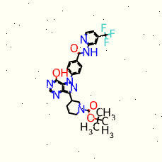 CC(C)(C)OC(=O)N1CCCC(c2nn(-c3ccc(C(=O)Nc4cc(C(F)(F)F)ccn4)cc3)c3c(O)ncnc23)C1